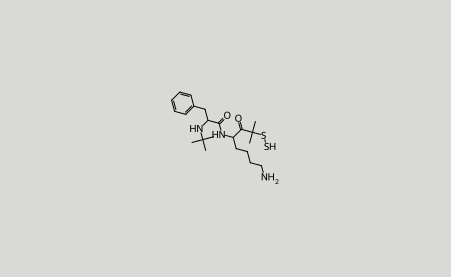 CC(C)(C)NC(Cc1ccccc1)C(=O)NC(CCCCN)C(=O)C(C)(C)SS